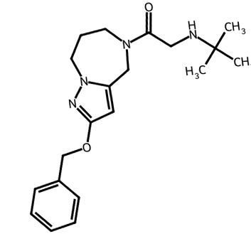 CC(C)(C)NCC(=O)N1CCCn2nc(OCc3ccccc3)cc2C1